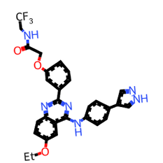 CCOc1ccc2nc(-c3cccc(OCC(=O)NCC(F)(F)F)c3)nc(Nc3ccc(-c4cn[nH]c4)cc3)c2c1